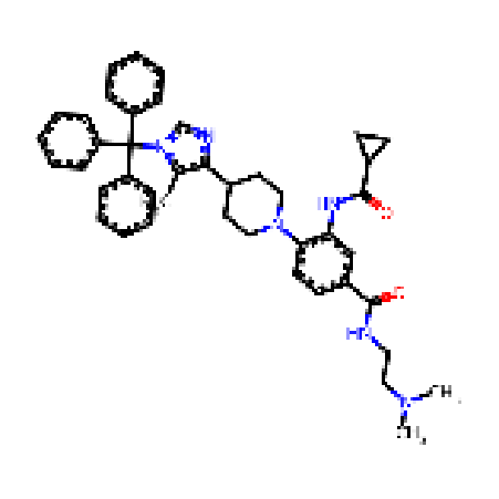 Cc1c(C2CCN(c3ccc(C(=O)NCCN(C)C)cc3NC(=O)C3CC3)CC2)ncn1C(c1ccccc1)(c1ccccc1)c1ccccc1